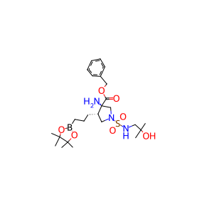 CC(C)(O)CNS(=O)(=O)N1C[C@H](CCCB2OC(C)(C)C(C)(C)O2)[C@](N)(C(=O)OCc2ccccc2)C1